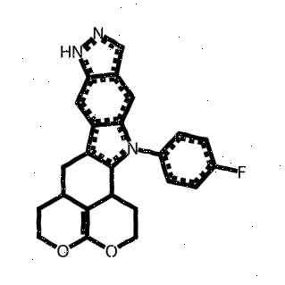 Fc1ccc(-n2c3c(c4cc5[nH]ncc5cc42)CC2CCOC4=C2C3CCO4)cc1